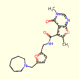 Cc1oc2ncn(C)c(=O)c2c1C(=O)NCc1ccc(CN2CCCCCC2)o1